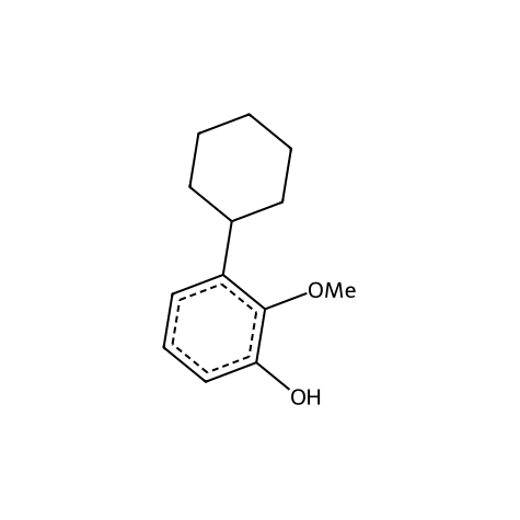 COc1c(O)cccc1C1CCCCC1